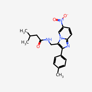 Cc1ccc(-c2nc3ccc([N+](=O)[O-])cn3c2CNC(=O)CC(C)C)cc1